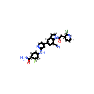 N#Cc1cc(-c2ccnc(Nc3ccc(C(N)=O)c(F)c3)c2)cc2ccn(C(=O)Cc3cccnc3Cl)c12